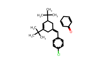 CC(C)(C)C1=CC(C(C)(C)C)CC(=Cc2ccc(Cl)cc2)C1.O=C1C=CCC=C1